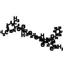 C/C1=C/CC[C@H](C)[C@@H](COC(=O)NCCOCCOCCNC(=O)C(CCC(N)=O)NC(=O)OCc2ccccc2)CC1